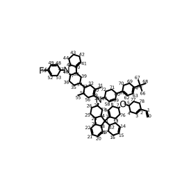 C=CC1=CCC(OC2CC=C(C3(C4CC=CCC4)C4C=CC=CC4C4CCC(N(C5=C(C)CC(C6CCC7C(C6)C6=CCCCC6N7C6C=CC(F)=CC6)C(C)C5)C5C=CC(C6=CC=C(C(C)(C)C)CC6)CC5)CC43)CC2)CC1